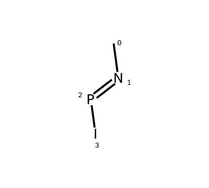 CN=PI